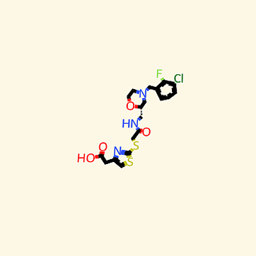 O=C(O)Cc1csc(SCC(=O)NC[C@H]2CN(Cc3cccc(Cl)c3F)CCO2)n1